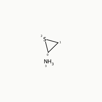 C1CS1.N